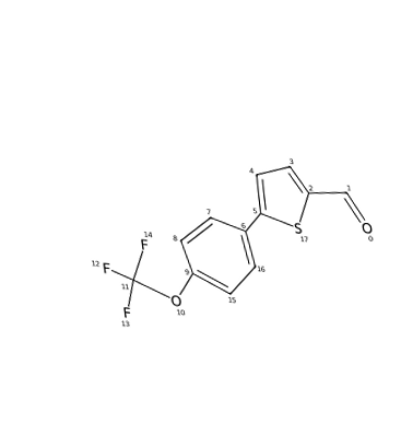 O=Cc1ccc(-c2ccc(OC(F)(F)F)cc2)s1